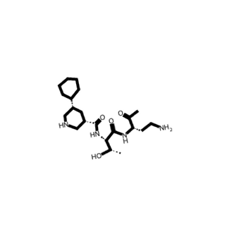 CC(=O)[C@H](CCN)NC(=O)[C@@H](NC(=O)[C@@H]1CNC[C@H](C2CCCCC2)C1)[C@H](C)O